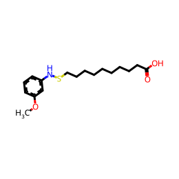 COc1cccc(NSCCCCCCCCCC(=O)O)c1